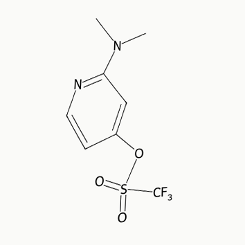 CN(C)c1cc(OS(=O)(=O)C(F)(F)F)ccn1